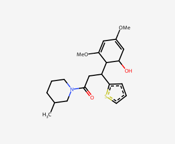 COC1=CC(O)C(C(CC(=O)N2CCCC(C)C2)c2cccs2)C(OC)=C1